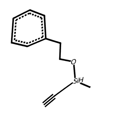 C#C[SiH](C)OCCc1ccccc1